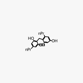 CCCc1cc(O)c(Cc2c(O)cc(O)cc2CCC)c(O)c1